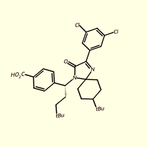 CC(C)(C)CC[C@H](c1ccc(C(=O)O)cc1)N1C(=O)C(c2cc(Cl)cc(Cl)c2)=NC12CCC(C(C)(C)C)CC2